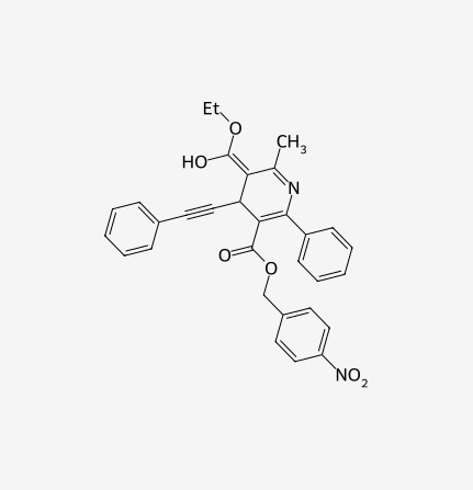 CCO/C(O)=C1\C(C)=NC(c2ccccc2)=C(C(=O)OCc2ccc([N+](=O)[O-])cc2)C1C#Cc1ccccc1